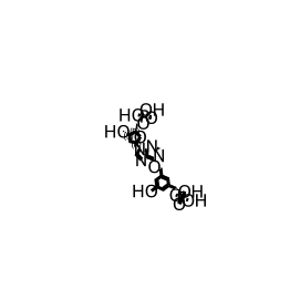 O=P(O)(O)OCc1cc(O)cc(COc2ncnc3c2ncn3[C@H]2C[C@H](O)[C@@H](COP(=O)(O)O)O2)c1